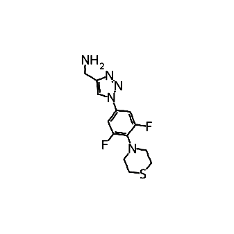 NCc1cn(-c2cc(F)c(N3CCSCC3)c(F)c2)nn1